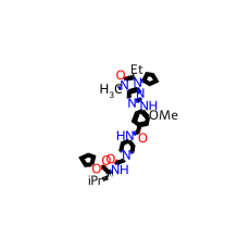 CC[C@H]1C(=O)N(C)c2cnc(Nc3ccc(C(=O)NC4CCN(CC(=O)N[C@H](CC(C)C)C(=O)OC5CCCC5)CC4)cc3OC)nc2N1C1CCCC1